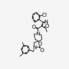 Cc1cc(C)cc(CN2CC3(CCN(C(=O)c4c(-c5ccccc5Cl)noc4C)CC3)OC2=O)c1